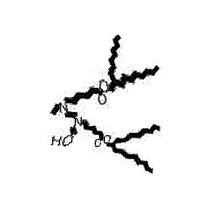 C=CN(CCCCCC(=O)OCC(CCCCCCCC)CCCCCCCC)CCN(CCO)CCCCCC(=O)OCC(CCCCCCCC)CCCCCCCC